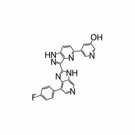 Oc1cncc(-c2ccc3[nH]nc(-c4nc5c(-c6ccc(F)cc6)cncc5[nH]4)c3n2)c1